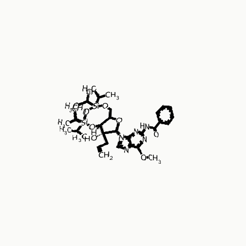 C=CC[C@]1(O)C(n2cnc3c(OC)nc(NC(=O)c4ccccc4)nc32)OC2CO[Si](C(C)C)(C(C)C)O[Si](C(C)C)(C(C)C)O[C@H]21